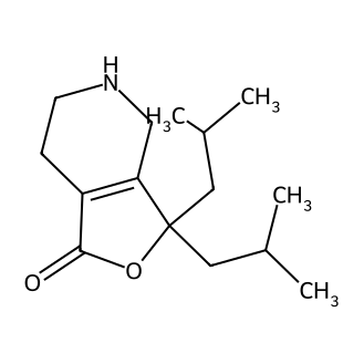 CC(C)CC1(CC(C)C)OC(=O)C2=C1CNCC2